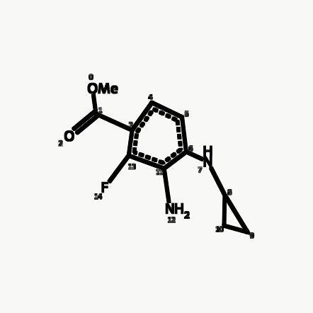 COC(=O)c1ccc(NC2CC2)c(N)c1F